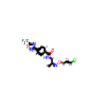 C/C(CNC(=O)c1ccc(-c2noc(C(F)(F)F)n2)cc1)=N/OC/C=C/Cl